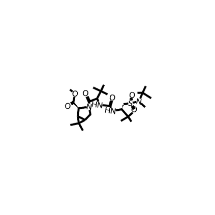 COC(=O)[C@@H]1C2C(CN1C(=O)C(NC(=O)N[C@H](CS(=O)(=O)N(C)C(C)(C)C)C(C)(C)C)C(C)(C)C)C2(C)C